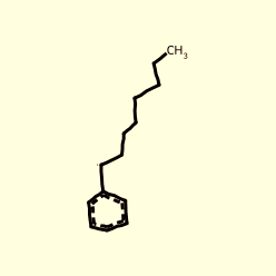 CCCCCCC[CH]c1ccccc1